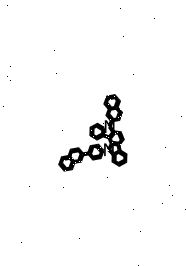 c1ccc2cc(-c3ccc(-n4c5ccccc5c5ccc6c(c7ccccc7n6-c6ccc7ccccc7c6)c54)cc3)ccc2c1